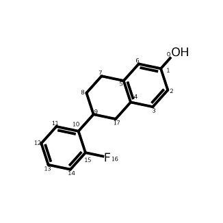 Oc1ccc2c(c1)CCC(c1ccccc1F)C2